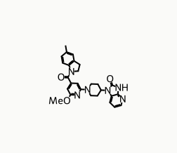 COc1cc(C(=O)N2CCc3cc(C)ccc32)cc(N2CCC(n3c(=O)[nH]c4ncccc43)CC2)n1